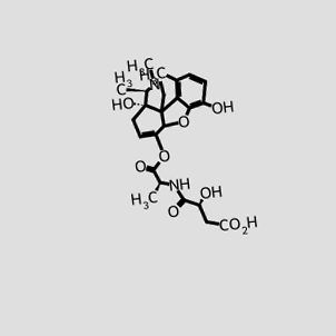 Cc1ccc(O)c2c1C13CCN(C)[C@H](C)[C@]1(O)CC=C(OC(=O)[C@H](C)NC(=O)[C@@H](O)CC(=O)O)C3O2